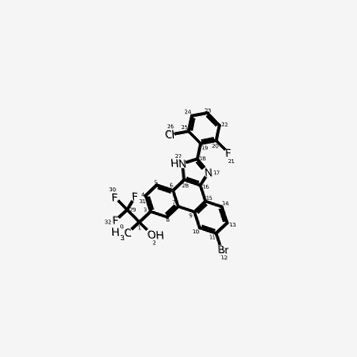 CC(O)(c1ccc2c(c1)c1cc(Br)ccc1c1nc(-c3c(F)cccc3Cl)[nH]c21)C(F)(F)F